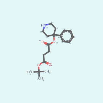 CC(C)(C)OC(=O)CCC(=O)OC1(c2ccccc2)CCNCC1